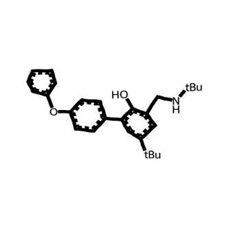 CC(C)(C)NCc1cc(C(C)(C)C)cc(-c2ccc(Oc3ccccc3)cc2)c1O